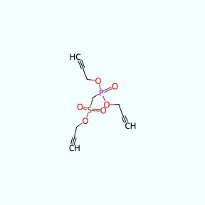 C#CCOP(=O)(CS(=O)(=O)OCC#C)OCC#C